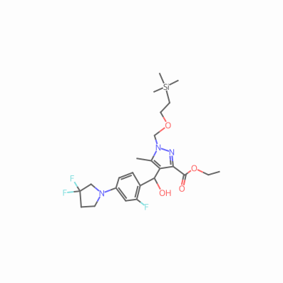 CCOC(=O)c1nn(COCC[Si](C)(C)C)c(C)c1C(O)c1ccc(N2CCC(F)(F)C2)cc1F